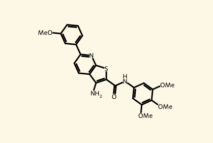 COc1cccc(-c2ccc3c(N)c(C(=O)Nc4cc(OC)c(OC)c(OC)c4)sc3n2)c1